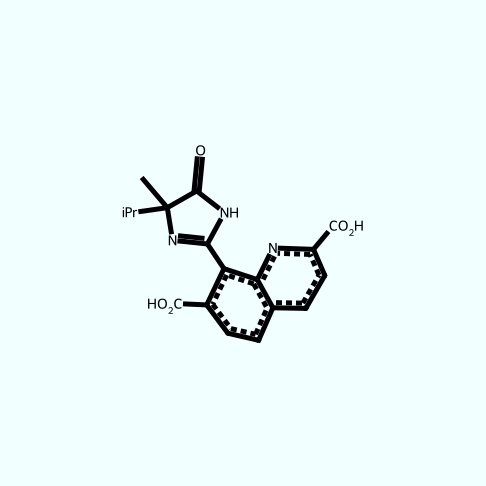 CC(C)C1(C)N=C(c2c(C(=O)O)ccc3ccc(C(=O)O)nc23)NC1=O